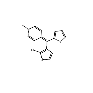 CN1C=CC(=C(c2cccs2)c2ccsc2Cl)C=C1